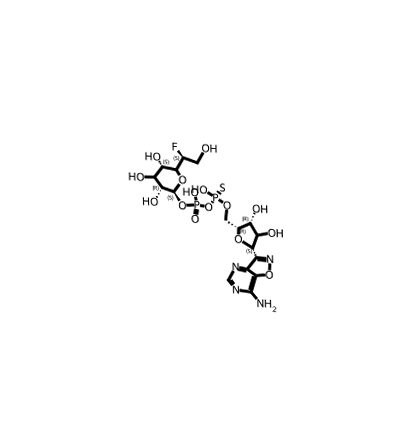 Nc1ncnc2c([C@@H]3O[C@H](COP(O)(=S)OP(=O)(O)O[C@@H]4OC([C@@H](F)CO)[C@@H](O)C(O)[C@H]4O)[C@H](O)C3O)noc12